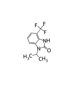 CC(C)n1c(=O)[nH]c2c(C(F)(F)F)cccc21